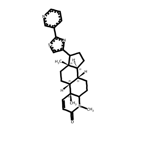 CN1C(=O)C=C[C@@]2(C)C1CC[C@@H]1[C@H]2CC[C@]2(C)C(c3csc(-c4cccnc4)n3)CC[C@@H]12